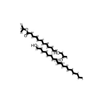 CC(O)CO.CCCCCCCCC=CCCCCCCCCO.CCCCCCCCCCCC(=O)OC(C)C